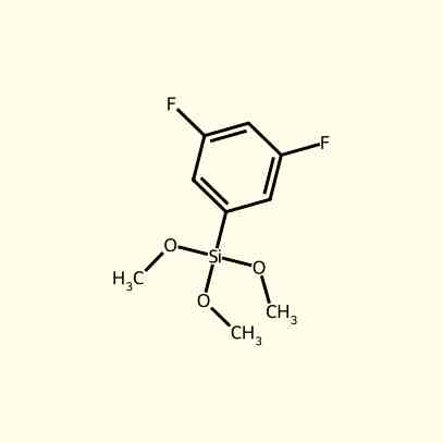 CO[Si](OC)(OC)c1cc(F)cc(F)c1